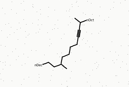 [CH2]CCCCCCCCCCCC(C)CCCCC#CC(C)CCCCCCC[CH2]